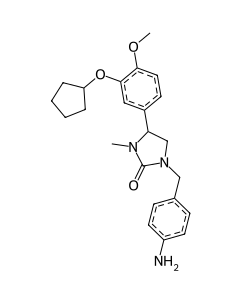 COc1ccc(C2CN(Cc3ccc(N)cc3)C(=O)N2C)cc1OC1CCCC1